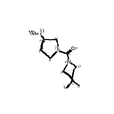 CC1(C)CN(C(=O)N2CC=C(C(C)(C)C)C2)C1